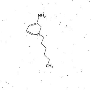 CCCCCCN1C=CC=C(N)C1